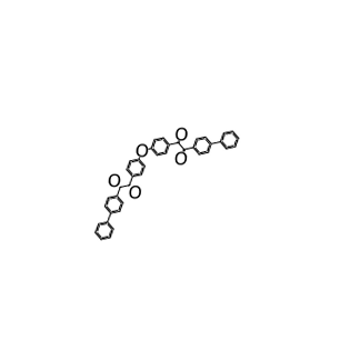 O=C(C(=O)c1ccc(-c2ccccc2)cc1)c1ccc(Oc2ccc(C(=O)C(=O)c3ccc(-c4ccccc4)cc3)cc2)cc1